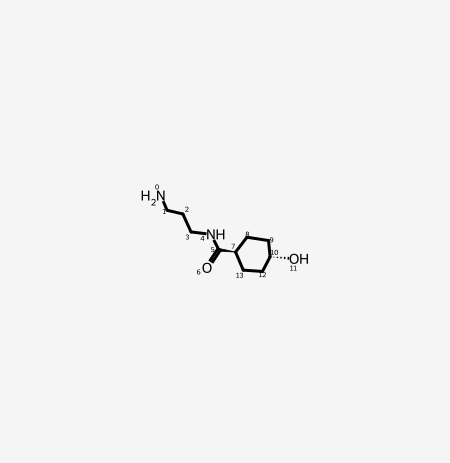 NCCCNC(=O)[C@H]1CC[C@H](O)CC1